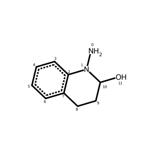 NN1c2ccccc2CCC1O